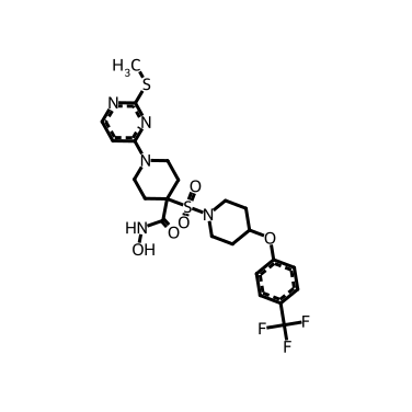 CSc1nccc(N2CCC(C(=O)NO)(S(=O)(=O)N3CCC(Oc4ccc(C(F)(F)F)cc4)CC3)CC2)n1